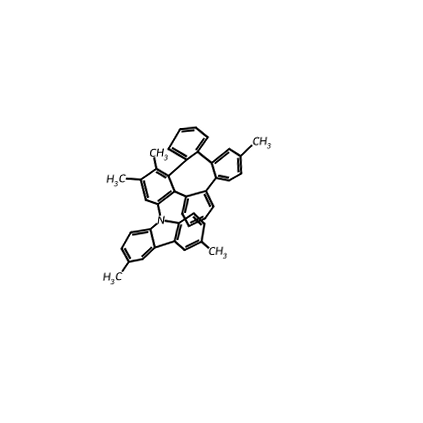 Cc1ccc2c(c1)-c1ccccc1-c1c(C)c(C)cc(-n3c4ccc(C)cc4c4cc(C)ccc43)c1-c1ccccc1-2